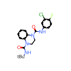 CC(C)(C)NC(=O)N1CCN(C(=O)Nc2ccc(F)c(Cl)c2)c2ccccc21